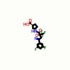 O=C(O)[C@H]1CC[C@H](NC(=O)C2(C(F)(F)F)CC(c3cc(F)cc(F)c3)=NO2)C1